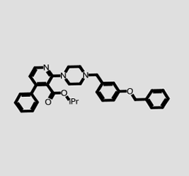 CC(C)OC(=O)c1c(-c2ccccc2)ccnc1N1CCN(Cc2cccc(OCc3ccccc3)c2)CC1